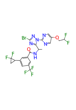 CC(NC(=O)c1cc(C2CC2(F)F)cc(C(F)(F)F)c1)c1nc(Br)nn1-c1ncc(OCC(F)F)cn1